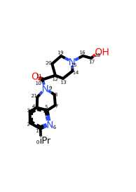 CC(C)c1ccc2c(n1)CCN(C(=O)C1CCN(CCO)CC1)C2